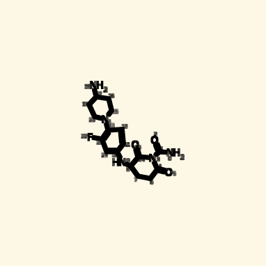 NC(=O)N1C(=O)CCC(Nc2ccc(N3CCC(N)CC3)c(F)c2)C1=O